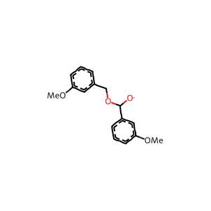 COc1cccc(COC([O])c2cccc(OC)c2)c1